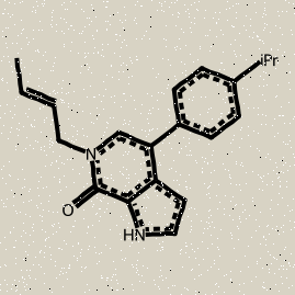 CC=CCn1cc(-c2ccc(C(C)C)cc2)c2cc[nH]c2c1=O